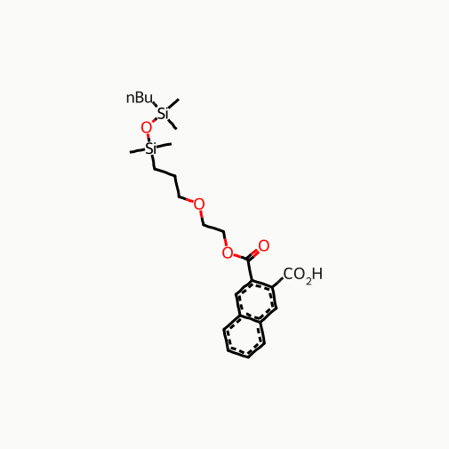 CCCC[Si](C)(C)O[Si](C)(C)CCCOCCOC(=O)c1cc2ccccc2cc1C(=O)O